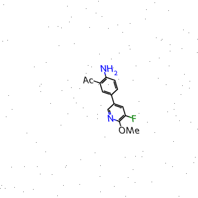 COc1ncc(-c2ccc(N)c(C(C)=O)c2)cc1F